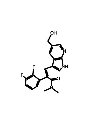 CN(C)C(=O)C(=Cc1c[nH]c2ncc(CO)cc12)c1cccc(F)c1F